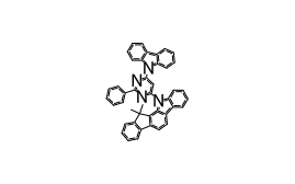 CC1(C)c2ccccc2-c2ccc3c4ccccc4n(-c4cc(-n5c6ccccc6c6ccccc65)nc(-c5ccccc5)n4)c3c21